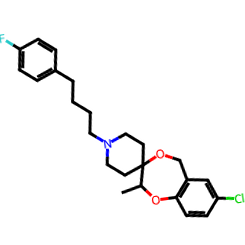 CC1Oc2ccc(Cl)cc2COC12CCN(CCCCc1ccc(F)cc1)CC2